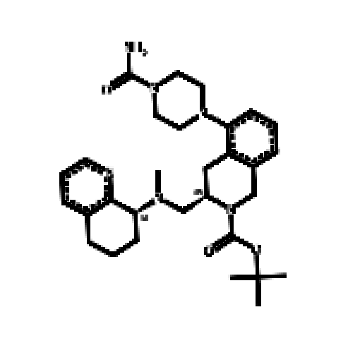 CN(C[C@H]1Cc2c(cccc2N2CCN(C(N)=O)CC2)CN1C(=O)OC(C)(C)C)[C@H]1CCCc2cccnc21